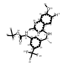 [2H]c1cc2c(N[C@H](C)c3cc(NC(=O)OC(C)(C)C)cc(C(F)(F)F)c3)nc(C)nc2cc1OC